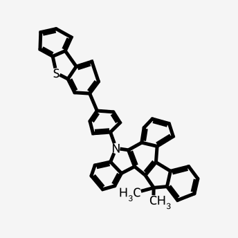 CC1(C)c2ccccc2-c2c1c1c3ccccc3n(-c3ccc(-c4ccc5c(c4)sc4ccccc45)cc3)c1c1ccccc21